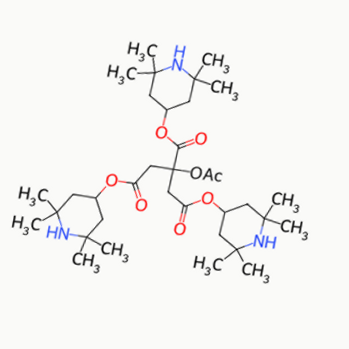 CC(=O)OC(CC(=O)OC1CC(C)(C)NC(C)(C)C1)(CC(=O)OC1CC(C)(C)NC(C)(C)C1)C(=O)OC1CC(C)(C)NC(C)(C)C1